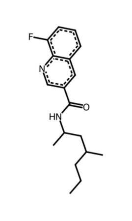 CCCC(C)CC(C)NC(=O)c1cnc2c(F)cccc2c1